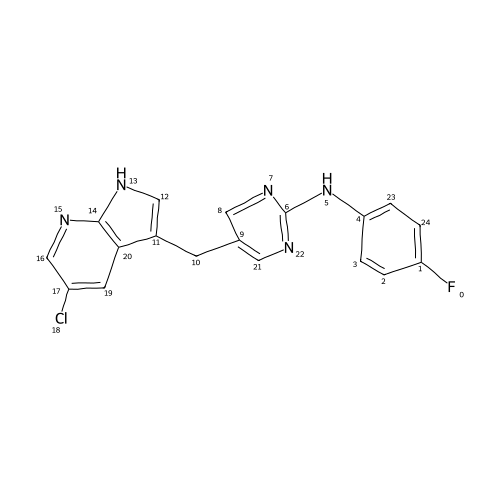 Fc1ccc(Nc2ncc(Cc3c[nH]c4ncc(Cl)cc34)cn2)cc1